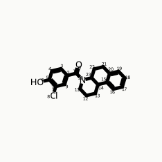 O=C(c1ccc(O)c(Cl)c1)N1CCCC2c3ccccc3CCC21